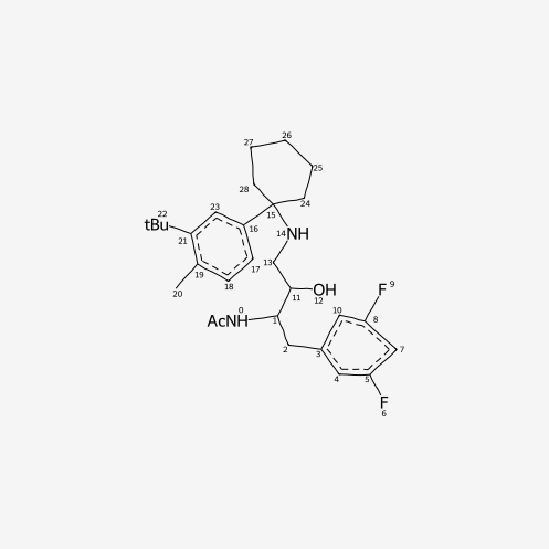 CC(=O)NC(Cc1cc(F)cc(F)c1)C(O)CNC1(c2ccc(C)c(C(C)(C)C)c2)CCCCC1